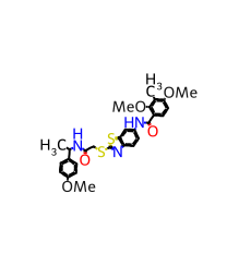 COc1ccc(C(C)NC(=O)CSc2nc3ccc(NC(=O)c4ccc(OC)c(C)c4OC)cc3s2)cc1